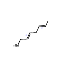 C/C=C/C/C=C/CCCCC